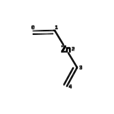 C=[CH][Zn][CH]=C